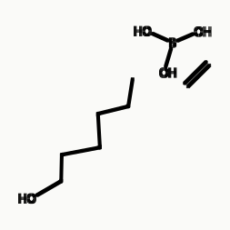 C=C.CCCCCCO.OB(O)O